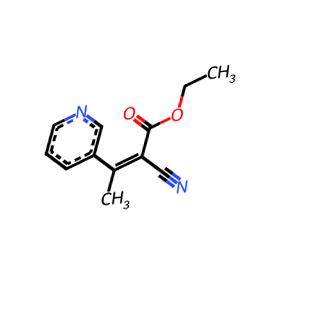 CCOC(=O)/C(C#N)=C(/C)c1cccnc1